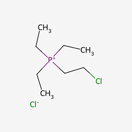 CC[P+](CC)(CC)CCCl.[Cl-]